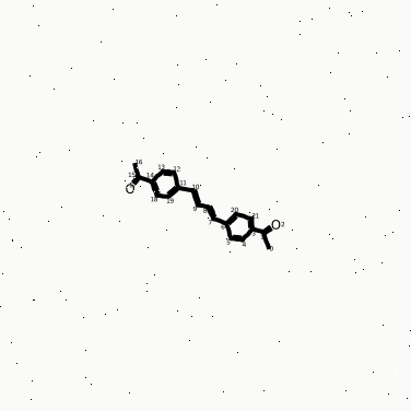 CC(=O)c1ccc(/C=C/C=C/c2ccc(C(C)=O)cc2)cc1